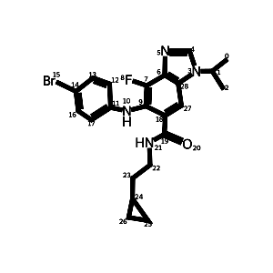 CC(C)n1cnc2c(F)c(Nc3ccc(Br)cc3)c(C(=O)NCCC3CC3)cc21